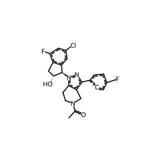 CC(=O)N1CCc2c(c(-c3ccc(F)cc3)nn2[C@@H]2c3cc(Cl)cc(F)c3C[C@H]2O)C1